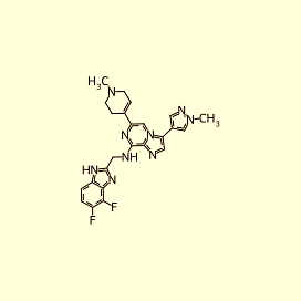 CN1CC=C(c2cn3c(-c4cnn(C)c4)cnc3c(NCc3nc4c(F)c(F)ccc4[nH]3)n2)CC1